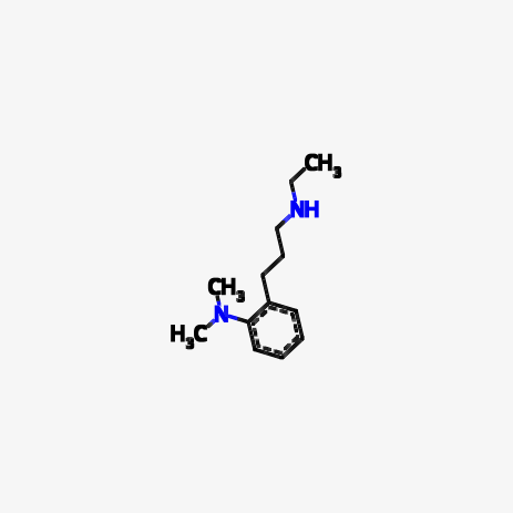 CCNCCCc1ccccc1N(C)C